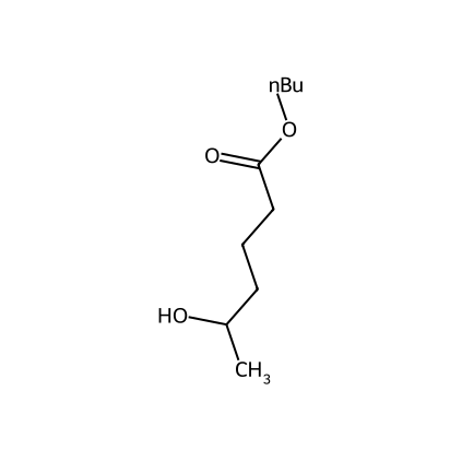 CCCCOC(=O)CCCC(C)O